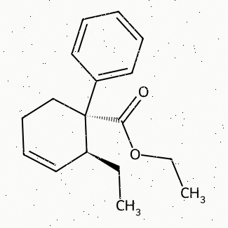 CCOC(=O)[C@@]1(c2ccccc2)CCC=C[C@@H]1CC